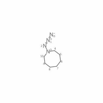 [N-]=[N+]=NN1CCCCCCC1